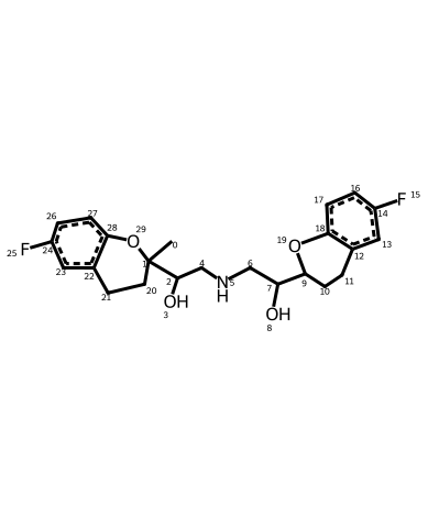 CC1(C(O)CNCC(O)C2CCc3cc(F)ccc3O2)CCc2cc(F)ccc2O1